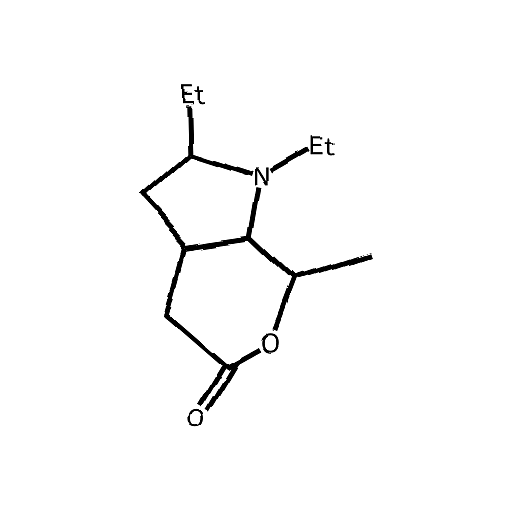 CCC1CC2CC(=O)OC(C)C2N1CC